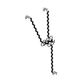 CC(C)CCCCCCCCCCCCCCC1OC[C@@H]2OC(CCCCCCCCCCCCCCC(C)C)O[C@H]([C@H]3COC(CCCCCCCCCCCCCCC(C)C)O3)[C@@H]2O1